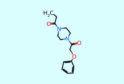 [CH2]CC(=O)N1CCN(C(=O)COc2ccccc2)CC1